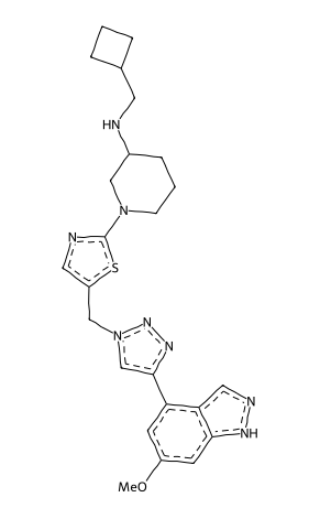 COc1cc(-c2cn(Cc3cnc(N4CCCC(NCC5CCC5)C4)s3)nn2)c2cn[nH]c2c1